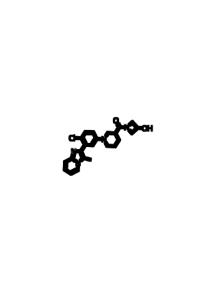 Cc1c(-c2cc(N3CCCC(C(=O)N4CC(O)C4)C3)ccc2Cl)nc2ccccn12